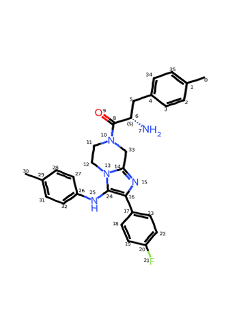 Cc1ccc(C[C@H](N)C(=O)N2CCn3c(nc(-c4ccc(F)cc4)c3Nc3ccc(C)cc3)C2)cc1